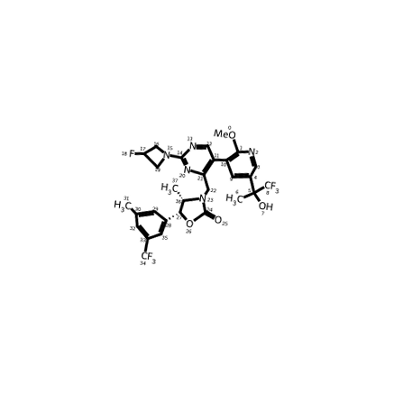 COc1ncc(C(C)(O)C(F)(F)F)cc1-c1cnc(N2CC(F)C2)nc1CN1C(=O)O[C@H](c2cc(C)cc(C(F)(F)F)c2)[C@@H]1C